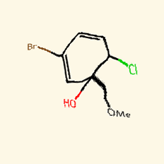 COCC1(O)C=C(Br)C=CC1Cl